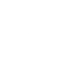 Cc1nc2c(=O)c3cc([N+](=O)[O-])ccc3oc2cc1C(=O)O